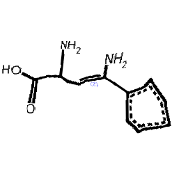 N/C(=C\C(N)C(=O)O)c1ccccc1